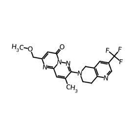 COCc1cc(=O)n2nc(N3CCc4ncc(C(F)(F)F)cc4C3)c(C)cc2n1